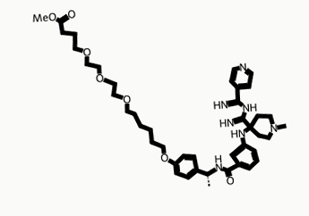 COC(=O)CCCOCCOCCOCCCCCCOc1ccc([C@@H](C)NC(=O)c2cccc(NC3(C(=N)NC(=N)c4ccncc4)CCN(C)CC3)c2)cc1